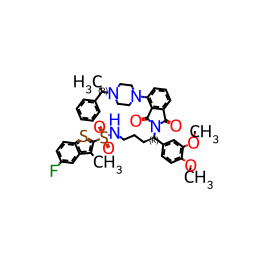 COc1ccc([C@@H](CCCNS(=O)(=O)c2sc3ccc(F)cc3c2C)N2C(=O)c3cccc(N4CCN([C@H](C)c5ccccc5)CC4)c3C2=O)cc1OC